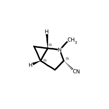 CN1[C@H](C#N)C[C@@H]2C[C@@H]21